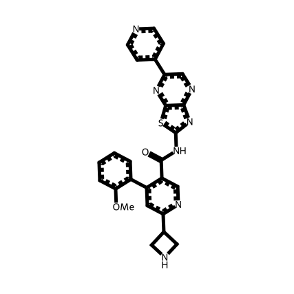 COc1ccccc1-c1cc(C2CNC2)ncc1C(=O)Nc1nc2ncc(-c3ccncc3)nc2s1